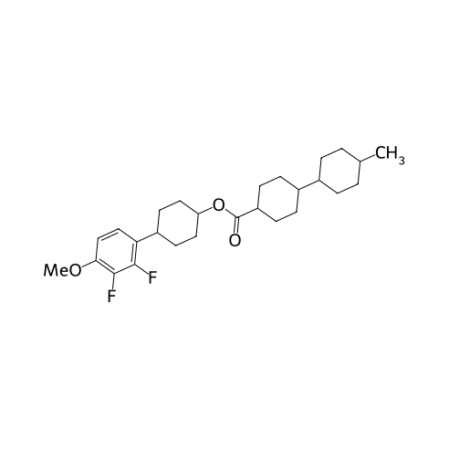 COc1ccc(C2CCC(OC(=O)C3CCC(C4CCC(C)CC4)CC3)CC2)c(F)c1F